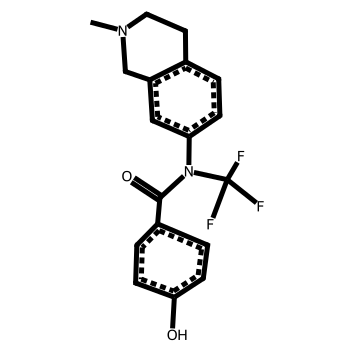 CN1CCc2ccc(N(C(=O)c3ccc(O)cc3)C(F)(F)F)cc2C1